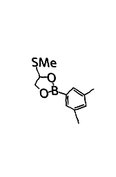 CSC1COB(c2cc(C)cc(C)c2)O1